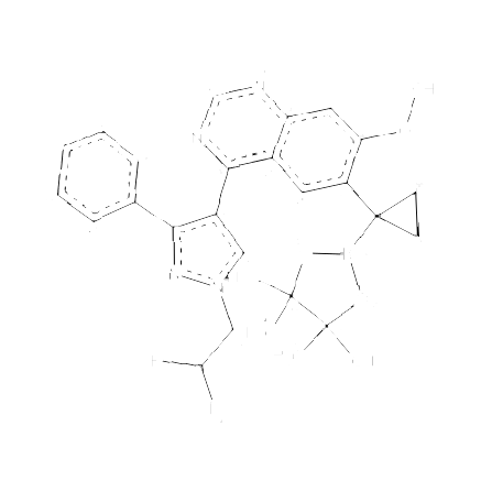 COc1cc2ncnc(-c3cn(CC(F)F)nc3-c3ccccc3)c2cc1C1(B2OC(C)(C)C(C)(C)O2)CC1